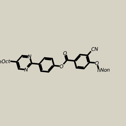 CCCCCCCCCOc1ccc(C(=O)Oc2ccc(-c3ncc(CCCCCCCC)cn3)cc2)cc1C#N